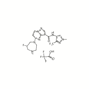 Cn1cc(NC(=O)c2cnn3ccc(N4CCNCC(F)C4)nc23)c(C(F)(F)F)n1.O=C(O)C(F)(F)F